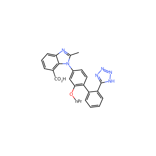 CCCOc1cc(-n2c(C)nc3cccc(C(=O)O)c32)ccc1-c1ccccc1-c1nnn[nH]1